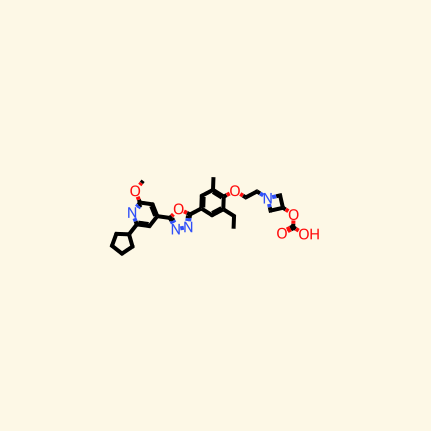 CCc1cc(-c2nnc(-c3cc(OC)nc(C4CCCC4)c3)o2)cc(C)c1OCCN1CC(OC(=O)O)C1